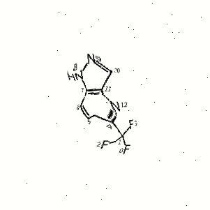 FC(F)(F)c1ccc2[nH]ncc2n1